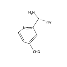 CCC[C@@H](N)c1cc(C=O)ccn1